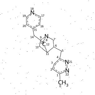 Cc1ccc(CC2CN3CCC2CC3Cc2ccncc2)nn1